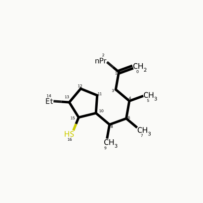 C=C(CCC)CC(C)C(C)C(C)C1CCC(CC)C1S